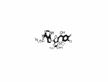 CO/N=c1/nc[nH]c2c1ccn2[C@@H]1O[C@H]([C@H](O)c2ccc(Cl)c(F)c2)[C@@H](C)[C@H]1OC(C)(C)O